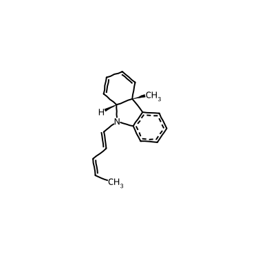 C/C=C\C=C\N1c2ccccc2[C@@]2(C)C=CC=C[C@@H]12